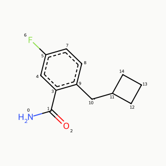 NC(=O)c1cc(F)ccc1[CH]C1CCC1